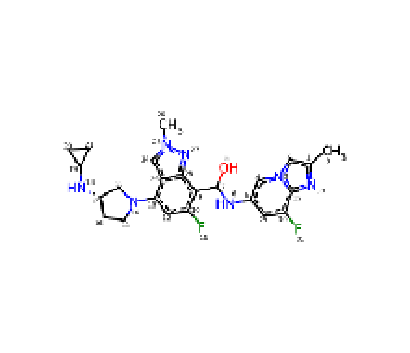 Cc1cn2cc(NC(O)c3c(F)cc(N4CC[C@H](NC5CC5)C4)c4cn(C)nc34)cc(F)c2n1